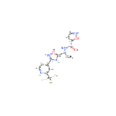 CC(NC(=O)c1ccno1)c1nc(-c2ccnc(C(F)(F)F)c2)no1